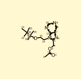 CC(=O)OCc1nc2cncnc2n1CCO[Si](C)(C)C(C)(C)C